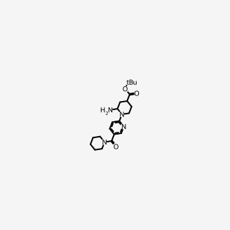 CC(C)(C)OC(=O)C1CCN(c2ccc(C(=O)N3CCCCC3)cn2)C(N)C1